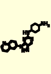 NC1CCC(Nc2ncc3nnn(-c4ccc5ncccc5c4)c3n2)CC1